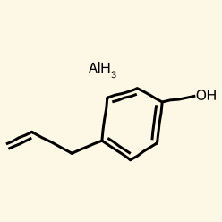 C=CCc1ccc(O)cc1.[AlH3]